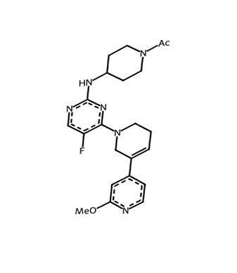 COc1cc(C2=CCCN(c3nc(NC4CCN(C(C)=O)CC4)ncc3F)C2)ccn1